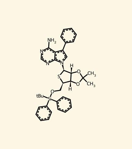 CC1(C)O[C@@H]2[C@H](O1)[C@@H](CO[Si](c1ccccc1)(c1ccccc1)C(C)(C)C)S[C@H]2n1cc(-c2ccccc2)c2c(N)ncnc21